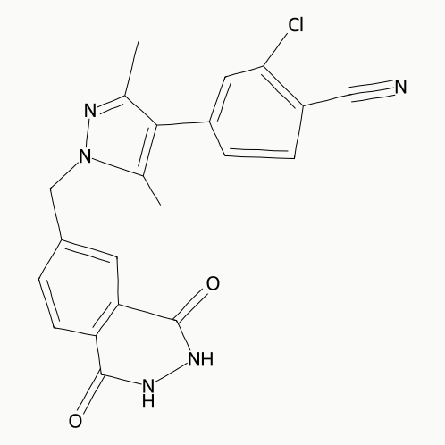 Cc1nn(Cc2ccc3c(=O)[nH][nH]c(=O)c3c2)c(C)c1-c1ccc(C#N)c(Cl)c1